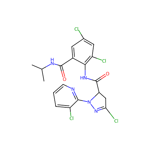 CC(C)NC(=O)c1cc(Cl)cc(Cl)c1NC(=O)C1CC(Cl)=NN1c1ncccc1Cl